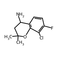 CC1(C)CC(N)c2ccc(F)c(Cl)c2O1